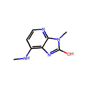 CNc1ccnc2c1nc(O)n2C